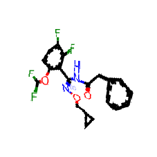 O=C(Cc1ccccc1)N/C(=N\OCC1CC1)c1c(OC(F)F)ccc(F)c1F